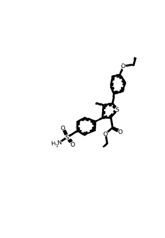 CCOC(=O)c1sc(-c2ccc(OCC)cc2)c(C)c1-c1ccc(S(N)(=O)=O)cc1